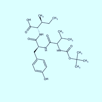 CC[C@H](C)[C@H](NC(=O)[C@H](Cc1ccc(O)cc1)NC(=O)C(NC(=O)OC(C)(C)C)C(C)C)C(=O)O